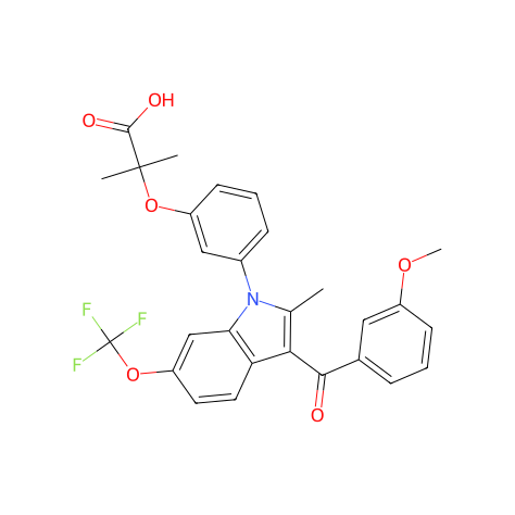 COc1cccc(C(=O)c2c(C)n(-c3cccc(OC(C)(C)C(=O)O)c3)c3cc(OC(F)(F)F)ccc23)c1